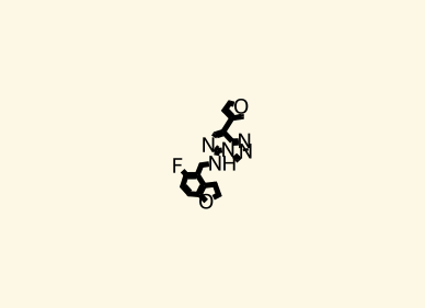 Fc1ccc2c(c1CNc1ncc(C3=CCOC3)c3nncn13)CCO2